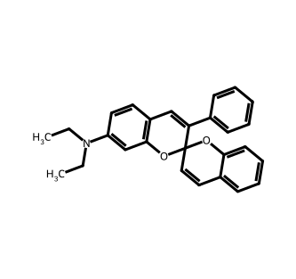 CCN(CC)c1ccc2c(c1)OC1(C=Cc3ccccc3O1)C(c1ccccc1)=C2